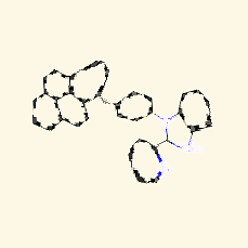 c1ccc(C2Nc3ccccc3N2c2ccc(-c3ccc4ccc5cccc6ccc3c4c56)cc2)nc1